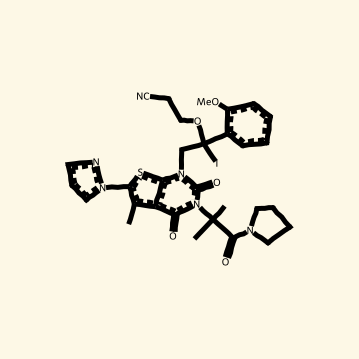 COc1ccccc1C(I)(Cn1c(=O)n(C(C)(C)C(=O)N2CCCC2)c(=O)c2c(C)c(-n3cccn3)sc21)OCCC#N